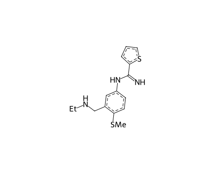 CCNCc1cc(NC(=N)c2cccs2)ccc1SC